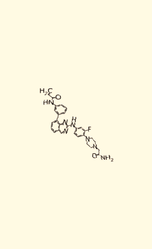 C=CC(=O)Nc1cccc(-c2cccc3cnc(Nc4ccc(N5CCN(CC(N)=O)CC5)c(F)c4)nc23)c1